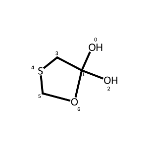 OC1(O)CSCO1